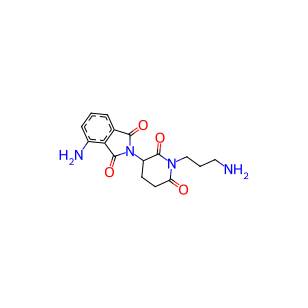 NCCCN1C(=O)CCC(N2C(=O)c3cccc(N)c3C2=O)C1=O